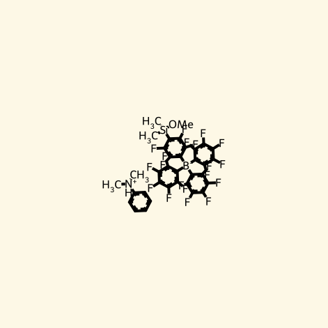 CO[Si](C)(C)c1c(F)c(F)c([B-](c2c(F)c(F)c(F)c(F)c2F)(c2c(F)c(F)c(F)c(F)c2F)c2c(F)c(F)c(F)c(F)c2F)c(F)c1F.C[NH+](C)c1ccccc1